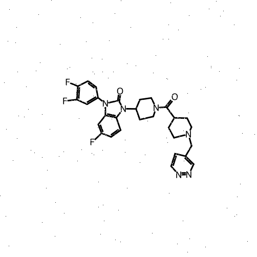 O=C(C1CCN(Cc2ccnnc2)CC1)N1CCC(n2c(=O)n(-c3ccc(F)c(F)c3)c3cc(F)ccc32)CC1